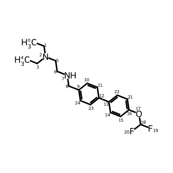 CCN(CC)CCNCc1ccc(-c2ccc(OC(F)F)cc2)cc1